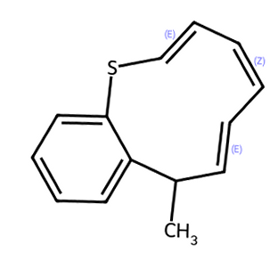 CC1/C=C/C=C\C=C\Sc2ccccc21